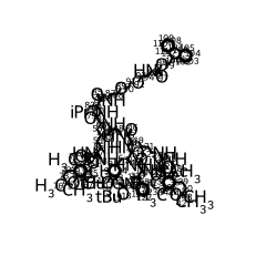 CC(=O)N[C@H](C(=O)N[C@@H](Cc1ccc(OC(C)(C)C)cc1)C(=O)N[C@@H](CCCCNC(=N)NS(=O)(=O)c1c(C)c(C)c2c(c1C)CCC(C)(C)O2)C(=O)NCC(=O)N[C@@H](CCCNC(=N)NS(=O)(=O)c1c(C)c(C)c2c(c1C)CCC(C)(C)O2)C(=O)N[C@@H](CC(C)C)C(=O)NCCOCCOCCNC(=O)OCC1c2ccccc2-c2ccccc21)c1cn(C(=O)OC(C)(C)C)c2ccccc12